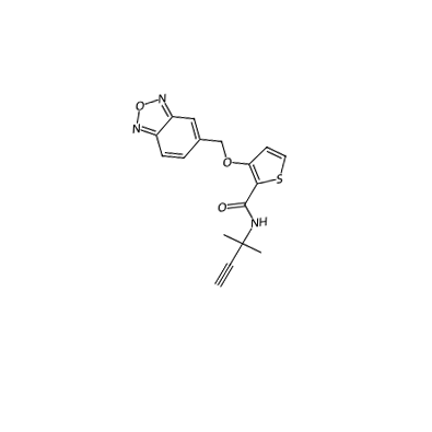 C#CC(C)(C)NC(=O)c1sccc1OCc1ccc2nonc2c1